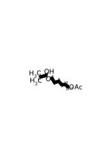 C=C(C)[C@@H](O)OCCCCCCOC(C)=O